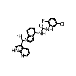 [2H]C(c1c[nH]c2ncccc12)n1ccc2c(NC(=O)Nc3cc(Cl)ccc3F)cccc21